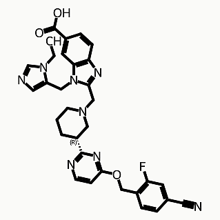 CCn1cncc1Cn1c(CN2CCC[C@@H](c3nccc(OCc4ccc(C#N)cc4F)n3)C2)nc2ccc(C(=O)O)cc21